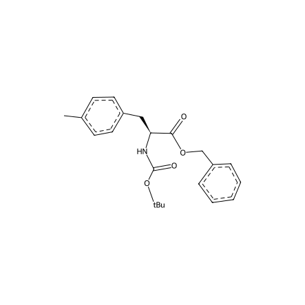 Cc1ccc(C[C@H](NC(=O)OC(C)(C)C)C(=O)OCc2ccccc2)cc1